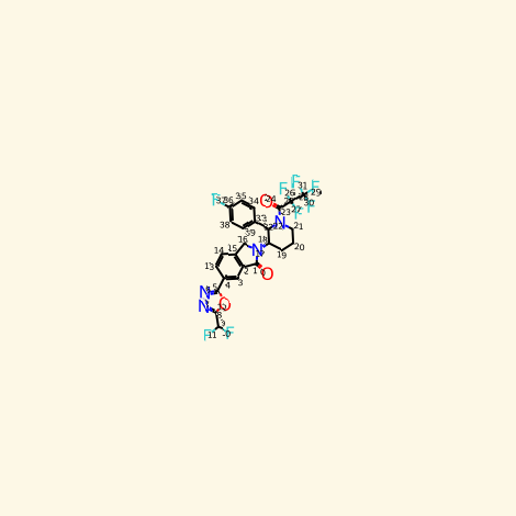 O=C1c2cc(-c3nnc(C(F)F)o3)ccc2CN1C1CCCN(C(=O)C(F)(F)C(F)(F)F)C1c1ccc(F)cc1